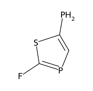 Fc1pcc(P)s1